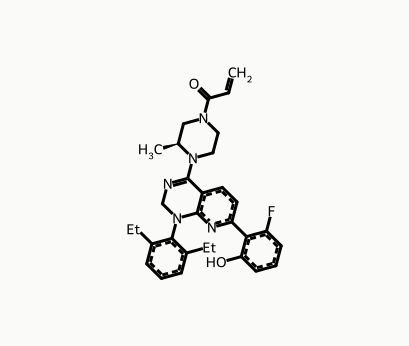 C=CC(=O)N1CCN(C2=NCN(c3c(CC)cccc3CC)c3nc(-c4c(O)cccc4F)ccc32)[C@@H](C)C1